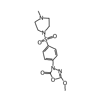 COc1nn(-c2ccc(S(=O)(=O)N3CCN(C)CC3)cc2)c(=O)o1